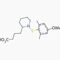 COc1cc(C)c(SN2CCCCC2CCCC(=O)O)c(C)c1